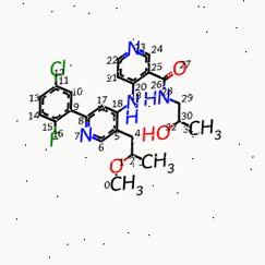 COC(C)Cc1cnc(-c2cc(Cl)ccc2F)cc1Nc1ccncc1C(=O)NCC(C)O